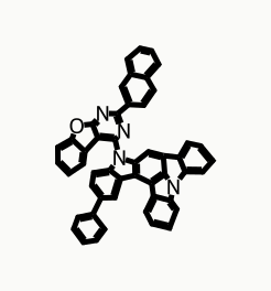 c1ccc(-c2ccc3c(c2)c2c4c5ccccc5n5c6ccccc6c(cc2n3-c2nc(-c3ccc6ccccc6c3)nc3oc6ccccc6c23)c45)cc1